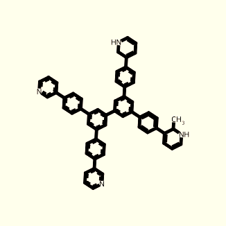 CC1NC=CC=C1C1=C=C=C(c2cc(-c3ccc(C4=CC=CNC4)cc3)cc(-c3cc(-c4ccc(-c5cccnc5)cc4)cc(-c4ccc(-c5cccnc5)cc4)c3)c2)C=C1